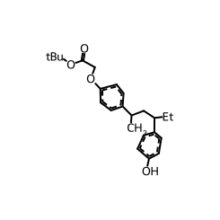 CCC(CC(C)c1ccc(OCC(=O)OC(C)(C)C)cc1)c1ccc(O)cc1